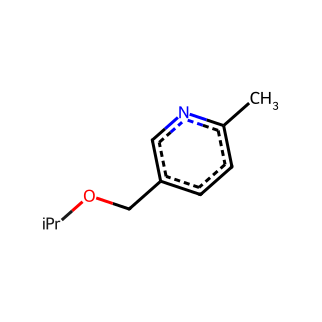 Cc1ccc(COC(C)C)cn1